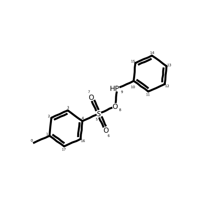 Cc1ccc(S(=O)(=O)OPc2ccccc2)cc1